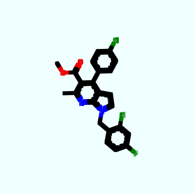 COC(=O)c1c(C)nc2c(ccn2Cc2ccc(F)cc2Cl)c1-c1ccc(Cl)cc1